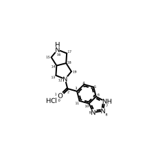 Cl.O=C(c1ccc2[nH]nnc2c1)N1CC2CNCC2C1